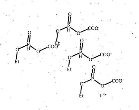 CCO[PH](=O)OC(=O)[O-].CCO[PH](=O)OC(=O)[O-].CCO[PH](=O)OC(=O)[O-].CCO[PH](=O)OC(=O)[O-].[Ti+4]